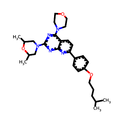 CC(C)CCCOc1ccc(-c2ccc3c(N4CCOCC4)nc(N4CC(C)OC(C)C4)nc3n2)cc1